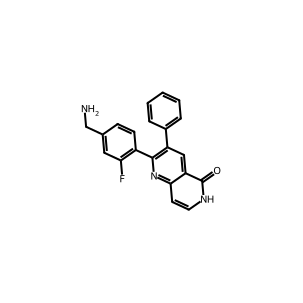 NCc1ccc(-c2nc3cc[nH]c(=O)c3cc2-c2ccccc2)c(F)c1